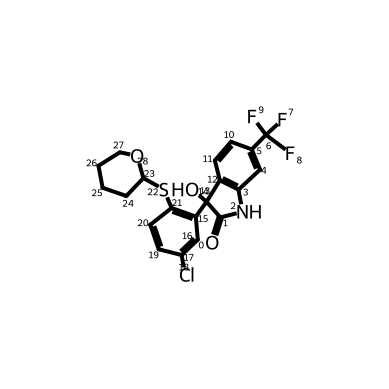 O=C1Nc2cc(C(F)(F)F)ccc2C1(O)c1cc(Cl)ccc1SC1CCCCO1